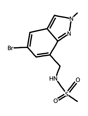 Cn1cc2cc(Br)cc(CNS(C)(=O)=O)c2n1